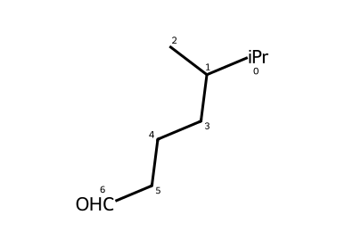 CC(C)C(C)CCCC=O